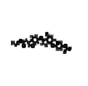 COC(=O)CC1COc2cc(O[C@@H]3CCc4c(Oc5ccc(OC(F)F)cn5)ccc(F)c43)ccc21